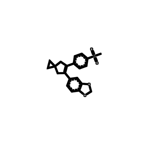 CS(=O)(=O)c1ccc(C2=C(c3ccc4c(c3)OCO4)CC3(CC3)C2)cc1